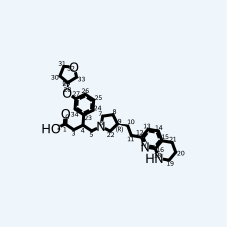 O=C(O)CC(CN1CC[C@@H](CCc2ccc3c(n2)NCCC3)C1)c1cccc(O[C@@H]2CCOC2)c1